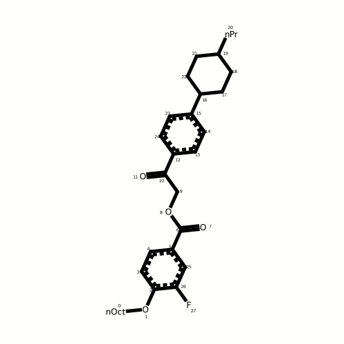 CCCCCCCCOc1ccc(C(=O)OCC(=O)c2ccc(C3CCC(CCC)CC3)cc2)cc1F